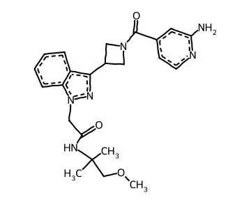 COCC(C)(C)NC(=O)Cn1nc(C2CN(C(=O)c3ccnc(N)c3)C2)c2ccccc21